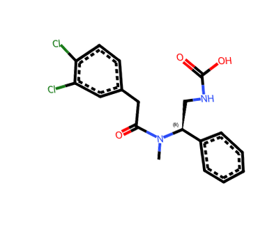 CN(C(=O)Cc1ccc(Cl)c(Cl)c1)[C@@H](CNC(=O)O)c1ccccc1